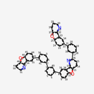 c1cc(-c2cccc(-c3ccc4oc5ccc(-c6cccc(-c7ccc8oc9cccnc9c8c7)c6)nc5c4c3)c2)cc(-c2ccc3oc4cccnc4c3c2)c1